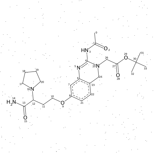 CC(=O)NC1=Nc2cc(OCCC(C(N)=O)N3CCCC3)ccc2CN1CC(=O)OC(C)(C)C